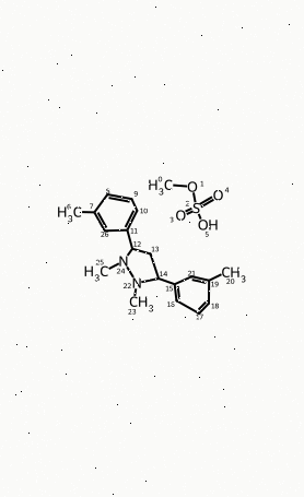 COS(=O)(=O)O.Cc1cccc(C2CC(c3cccc(C)c3)N(C)N2C)c1